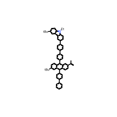 C=C(C)c1ccc2c(-c3ccc(-c4ccccc4)cc3)c3cc(C(C)(C)C)ccc3c(-c3ccc(-c4ccc(-c5ccc6c(c5)c5cc(C(C)(C)C)ccc5n6CC)cc4)cc3)c2c1